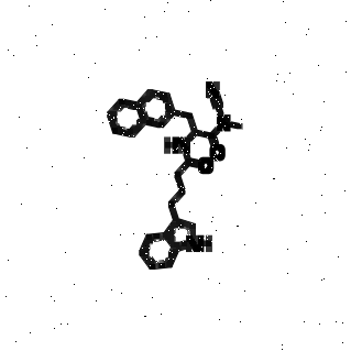 CN(C#N)C(=O)C(Cc1ccc2ccccc2c1)NC(=O)CCCc1c[nH]c2ccccc12